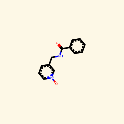 O=C(NCc1ccc[n+]([O-])c1)c1ccccc1